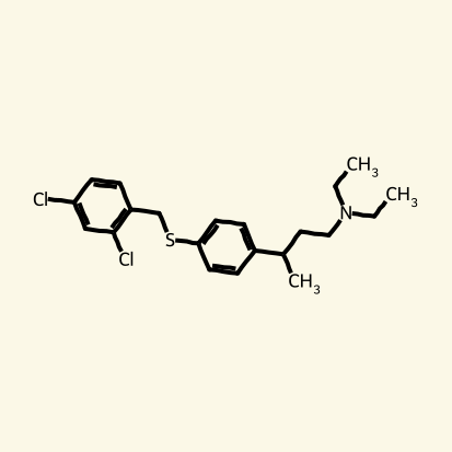 CCN(CC)CCC(C)c1ccc(SCc2ccc(Cl)cc2Cl)cc1